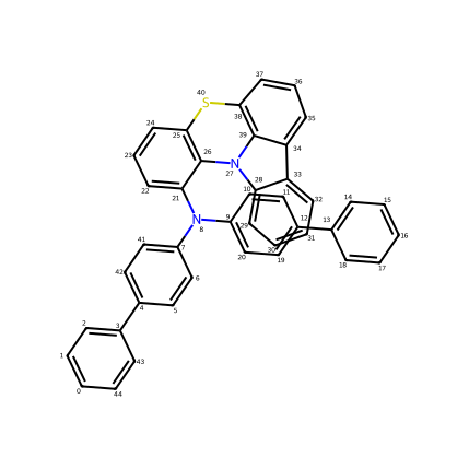 c1ccc(-c2ccc(N(c3ccc(-c4ccccc4)cc3)c3cccc4c3-n3c5ccccc5c5cccc(c53)S4)cc2)cc1